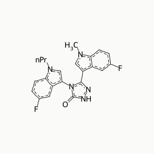 [CH2]CCn1cc(-n2c(-c3cn(C)c4ccc(F)cc34)n[nH]c2=O)c2cc(F)ccc21